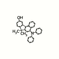 CC1(C)c2ccc(O)cc2-c2c1cc(N(c1ccccc1)c1ccccc1)c1ccccc21